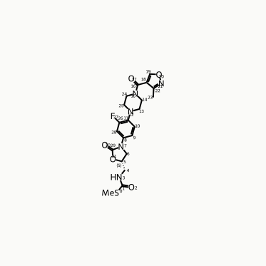 CSC(=O)NC[C@H]1CN(c2ccc(N3CCN(C(=O)c4conc4C)CC3)c(F)c2)C(=O)O1